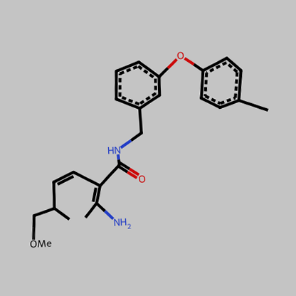 COCC(C)/C=C\C(C(=O)NCc1cccc(Oc2ccc(C)cc2)c1)=C(/C)N